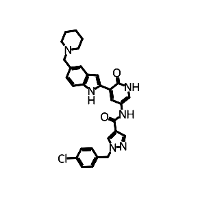 O=C(Nc1c[nH]c(=O)c(-c2cc3cc(CN4CCCCC4)ccc3[nH]2)c1)c1cnn(Cc2ccc(Cl)cc2)c1